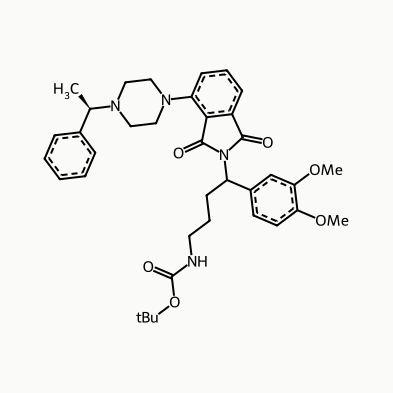 COc1ccc(C(CCCNC(=O)OC(C)(C)C)N2C(=O)c3cccc(N4CCN([C@H](C)c5ccccc5)CC4)c3C2=O)cc1OC